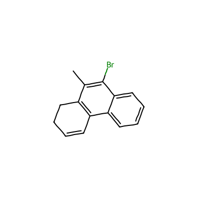 Cc1c2c(c3ccccc3c1Br)C=CCC2